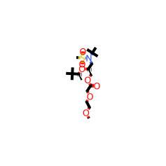 COCCOCC(=O)OC[C@H](CN(C(C)(C)C)S(C)(=O)=O)O[C@@H](C)C(C)(C)C